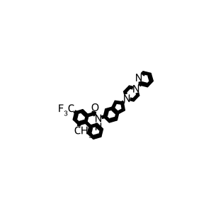 Cc1cc(C(F)(F)F)cc(C(=O)Nc2ccc3c(c2)CC(N2CCN(c4ccccn4)CC2)C3)c1-c1ccccc1